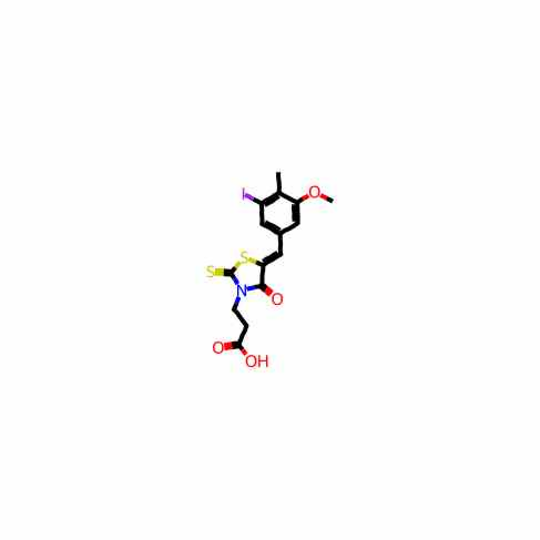 COc1cc(/C=C2\SC(=S)N(CCC(=O)O)C2=O)cc(I)c1C